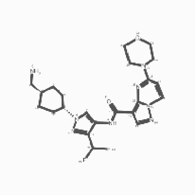 NC[C@H]1CC[C@H](n2cc(NC(=O)c3cnn4ccc(N5CCOCC5)nc34)c(C(F)F)n2)CC1